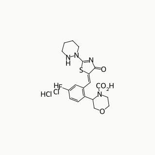 Cl.Cl.O=C1N=C(N2CCCCN2)S/C1=C\c1cc(F)ccc1C1COCCN1C(=O)O